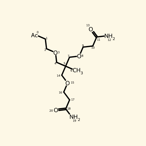 CC(=O)CCOCC(C)(COCCC(N)=O)COCCC(N)=O